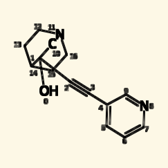 OC1(C#Cc2cccnc2)CN2CCC1CC2